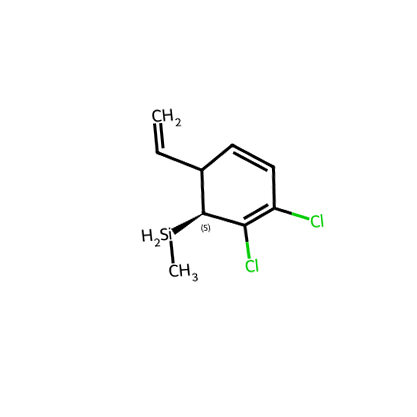 C=CC1C=CC(Cl)=C(Cl)[C@H]1[SiH2]C